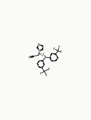 CB(c1cccc(C(F)(F)F)c1)c1cccc(C(F)(F)F)c1.N#CCn1ccnc1